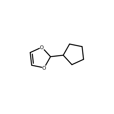 C1=COC(C2CCCC2)O1